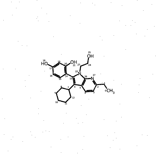 CCc1ccc2c(C3CCCCC3)c(-c3ccc(O)cc3O)n(CCO)c2n1